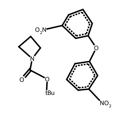 CC(C)(C)OC(=O)N1CCC1.O=[N+]([O-])c1cccc(Oc2cccc([N+](=O)[O-])c2)c1